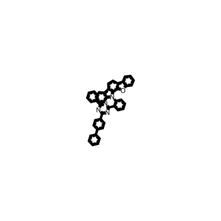 c1ccc(-c2ccc(-c3nc(-c4ccccc4)nc(-c4ccccc4-n4c5ccccc5c5ccc6c7ccccc7oc6c54)n3)cc2)cc1